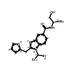 CCCC[C@H](CO)NC(=O)c1ccc2c(c1)nc(Cc1cccs1)n2C(CC)CC